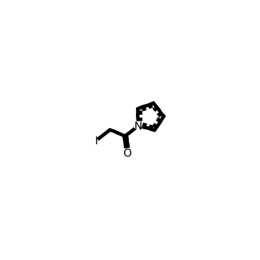 O=C(CI)n1cccc1